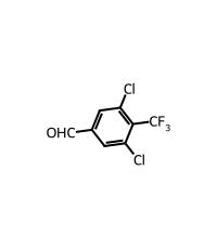 O=Cc1cc(Cl)c(C(F)(F)F)c(Cl)c1